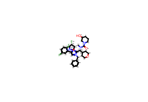 O=C(N1CCCC(O)C1)N(C[C@@H]1CNC[C@@H]1F)[C@@H](c1nc(-c2cc(F)ccc2F)cn1Cc1ccccc1)C1CCOCC1